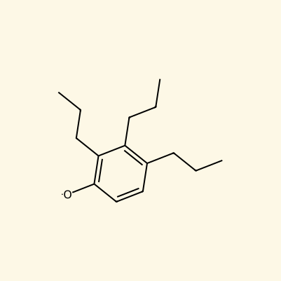 CCCc1ccc([O])c(CCC)c1CCC